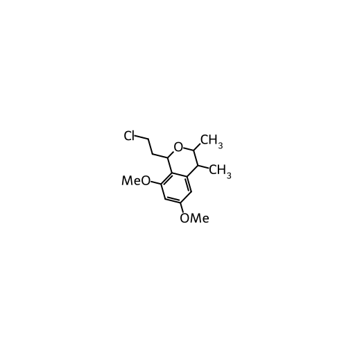 COc1cc(OC)c2c(c1)C(C)C(C)OC2CCCl